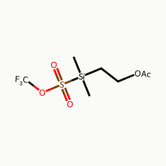 CC(=O)OCC[Si](C)(C)S(=O)(=O)OC(F)(F)F